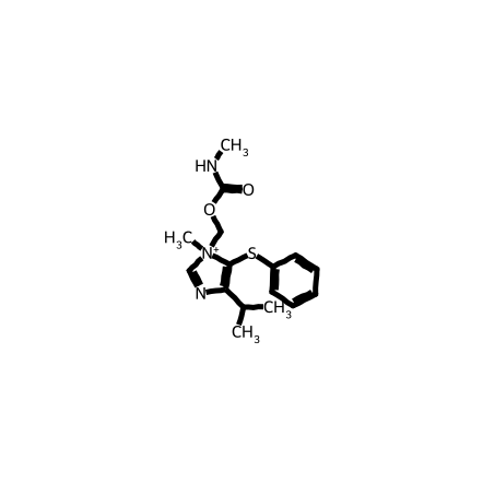 CNC(=O)OC[N+]1(C)C=NC(C(C)C)=C1Sc1ccccc1